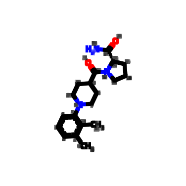 Cc1cccc(N2CCC(C(=O)N3CCC[C@H]3C(N)=O)CC2)c1C